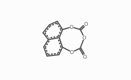 O=C1OC(=O)Oc2cccc3cccc(c23)O1